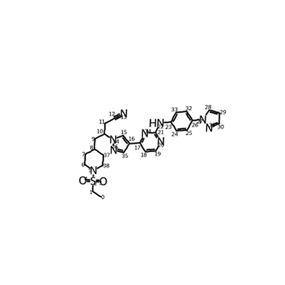 CCS(=O)(=O)N1CCC(CC(CC#N)n2cc(-c3ccnc(Nc4ccc(-n5cccn5)cc4)n3)cn2)CC1